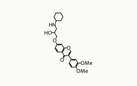 COc1ccc(-c2coc3cc(OCC(O)CNC4CCCCC4)ccc3c2=O)cc1OC